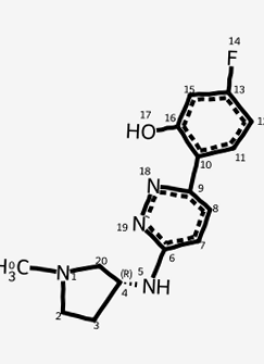 CN1CC[C@@H](Nc2ccc(-c3ccc(F)cc3O)nn2)C1